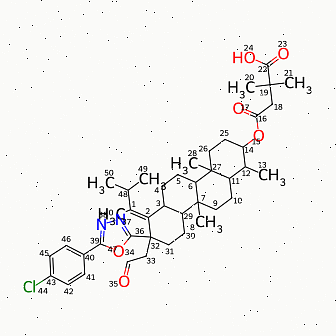 C/C(=C1/C2CCC3C(C)(CCC4C(C)C(OC(=O)CC(C)(C)C(=O)O)CCC43C)C2CCC1(CC=O)c1nnc(-c2ccc(Cl)cc2)o1)C(C)C